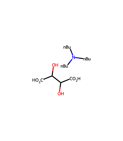 CCCCN(CCCC)CCCC.O=C(O)C(O)C(O)C(=O)O